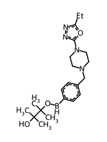 CCc1nnc(N2CCN(Cc3ccc(BOC(C)(C)C(C)(C)O)cc3)CC2)o1